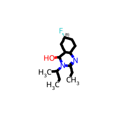 CCC1=NC2CC[C@@H](F)CC2C(O)N1C(C)CC